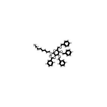 [N-]=[N+]=NCCCCCO[C@H]1OC(COCc2ccccc2)[C@@H](OCc2ccccc2)C(OCc2ccccc2)C1OC(=O)c1ccccc1